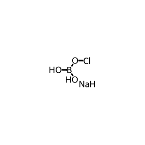 OB(O)OCl.[NaH]